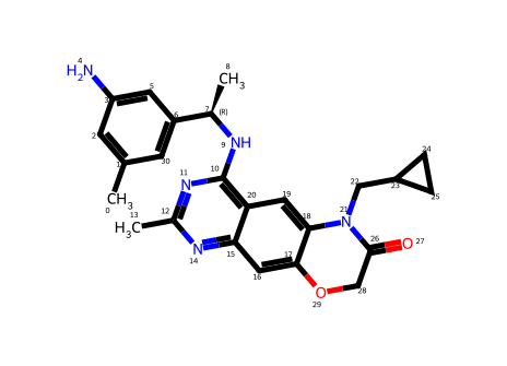 Cc1cc(N)cc([C@@H](C)Nc2nc(C)nc3cc4c(cc23)N(CC2CC2)C(=O)CO4)c1